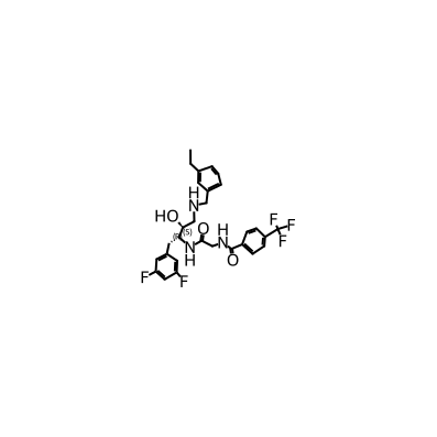 CCc1cccc(CNC[C@H](O)[C@@H](Cc2cc(F)cc(F)c2)NC(=O)CNC(=O)c2ccc(C(F)(F)F)cc2)c1